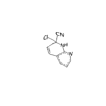 N#CC1(Cl)C=Cc2cccnc2N1